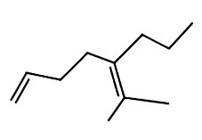 C=CCCC(CCC)=C(C)C